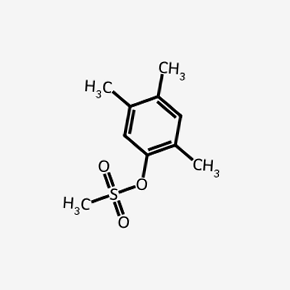 Cc1cc(C)c(OS(C)(=O)=O)cc1C